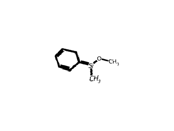 CO[Si](C)=C1C=CC=CC1